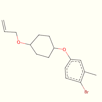 C=CCOC1CCC(Oc2ccc(Br)c(C)c2)CC1